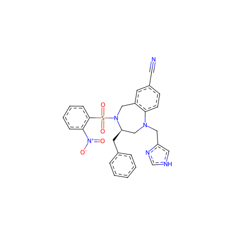 N#Cc1ccc2c(c1)CN(S(=O)(=O)c1ccccc1[N+](=O)[O-])[C@H](Cc1ccccc1)CN2Cc1c[nH]cn1